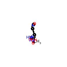 CC1(NCC(Cc2ccc(C#Cc3ccc(CN4CCOCC4)cc3)cc2)c2nc[nH]c(=O)c2O)COC1